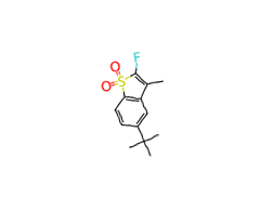 CC1=C(F)S(=O)(=O)c2ccc(C(C)(C)C)cc21